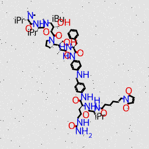 CC[C@H](C)[C@@H]([C@H](CO)CC(=O)N1CCC[C@H]1[C@H](CO)[C@@H](C)C(=O)N[C@@H](Cc1ccccc1)C(=O)Nc1ccc(NCc2ccc(NC(=O)[C@H](CCCNC(N)=O)NC(=O)C(NC(=O)CCCCCN3C(=O)C=CC3=O)C(C)C)cc2)cc1)N(C)C(=O)[C@@H](NC(=O)[C@H](C(C)C)N(C)C)C(C)C